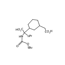 CCCC(NC(=O)OC(C)(C)C)(C(=O)O)C1CCCC(CC(=O)O)C1